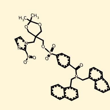 CC1(C)OCC(COS(=O)(=O)c2ccc(C(=O)N(Cc3cccc4ccccc34)Cc3cccc4ccccc34)cc2)(Cn2ccnc2[N+](=O)[O-])CO1